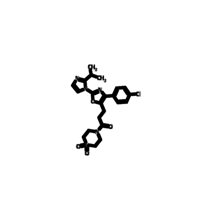 CC(C)c1nccn1-c1nc(-c2ccc(Cl)cc2)c(CCC(=O)N2CCS(=O)(=O)CC2)o1